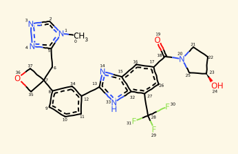 Cn1cnnc1CC1(c2cccc(-c3nc4cc(C(=O)N5CC[C@@H](O)C5)cc(C(F)(F)F)c4[nH]3)c2)COC1